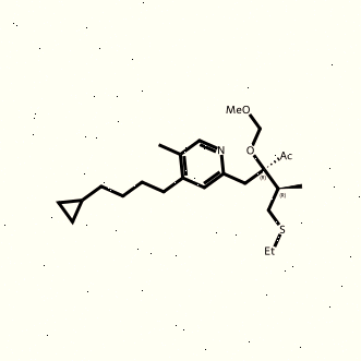 CCSC[C@H](C)[C@@](Cc1cc(CCCCC2CC2)c(C)cn1)(OCOC)C(C)=O